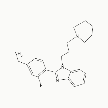 NCc1ccc(-c2nc3ccccc3n2CCCN2CCCCC2)c(F)c1